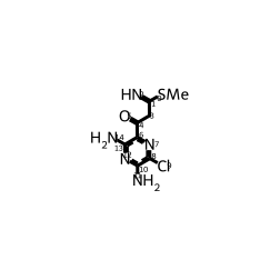 CSC(=N)CC(=O)c1nc(Cl)c(N)nc1N